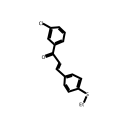 CCSc1ccc(/C=C/C(=O)c2cccc(Cl)c2)cc1